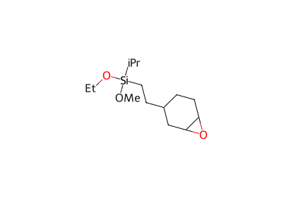 CCO[Si](CCC1CCC2OC2C1)(OC)C(C)C